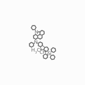 CC1(C)c2cc(N(c3ccccc3)c3ccc4c5c3ccc3cccc(c35)n4-c3ccccc3)ccc2-c2ccc([Si](c3ccccc3)(c3ccccc3)c3ccccc3)cc21